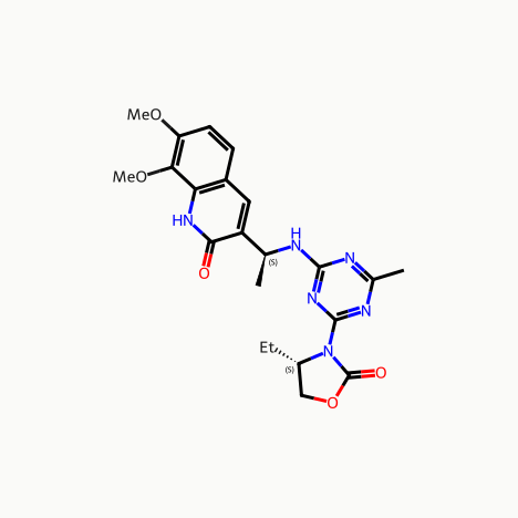 CC[C@H]1COC(=O)N1c1nc(C)nc(N[C@@H](C)c2cc3ccc(OC)c(OC)c3[nH]c2=O)n1